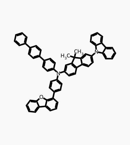 CC1(C)c2cc(N(c3ccc(-c4ccc(-c5ccccc5)cc4)cc3)c3ccc(-c4cccc5c4oc4ccccc45)cc3)ccc2-c2ccc(-n3c4ccccc4c4ccccc43)cc21